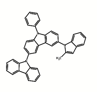 Cc1cc2ccccc2n1-c1ccc2c(c1)c1cc(-n3c4ccccc4c4ccccc43)ccc1n2-c1ccccc1